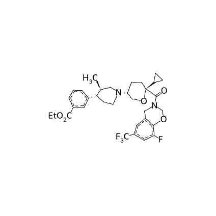 CCOC(=O)c1cccc([C@H]2CCN([C@@H]3CC[C@@](C(=O)N4COc5c(F)cc(C(F)(F)F)cc5C4)(C4CC4)OC3)C[C@@H]2C)c1